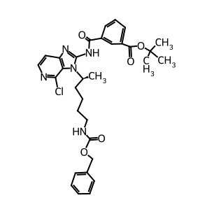 C[C@@H](CCCCNC(=O)OCc1ccccc1)n1c(NC(=O)c2cccc(C(=O)OC(C)(C)C)c2)nc2ccnc(Cl)c21